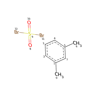 Cc1cccc(C)c1.O=S(=O)(Br)Br